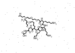 CNCCOCCOCCOCC(=O)N[C@@H](CCCCN)C(=O)NC(CCCCN)C(=O)N[C@@H](CCCCN)C(=O)NC(CCCCN)C(=O)N[C@@H](CCCCN)C(=O)NCC(=O)O